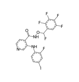 O=C(NOC(F)c1cc(F)c(F)c(F)c1F)c1ccncc1Nc1ccc(I)cc1F